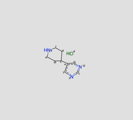 Cl.c1ncc(C2CCNCC2)cn1